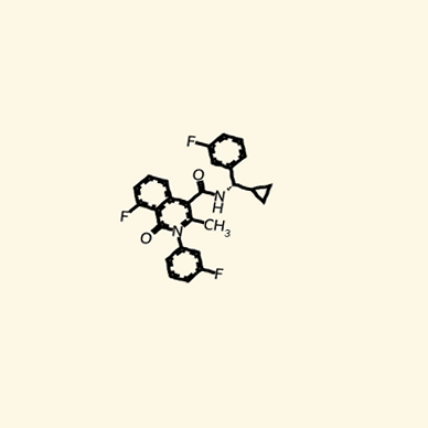 Cc1c(C(=O)N[C@H](c2cccc(F)c2)C2CC2)c2cccc(F)c2c(=O)n1-c1cccc(F)c1